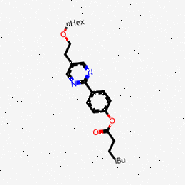 CCCCCCOCCc1cnc(-c2ccc(OC(=O)CCC(C)CC)cc2)nc1